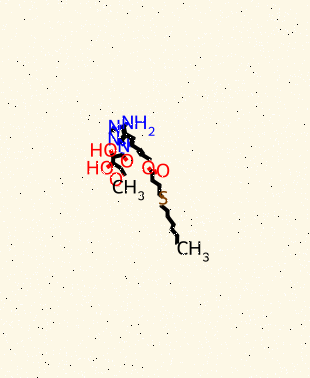 CCCCCCCCSCCCC(=O)OCC#Cc1cc2c(N)ncnc2n1C1OC(COC)C(O)C1O